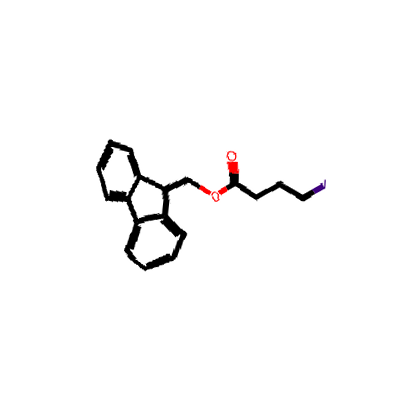 O=C(CCCI)OCC1c2ccccc2-c2ccccc21